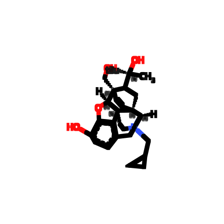 CC(C)(C)[C@@](C)(O)C1C[C@@]23C=C[C@@]1(CO)[C@@H]1Oc4c(O)ccc5c4[C@@]12CCN(CC1CC1)[C@@H]3C5